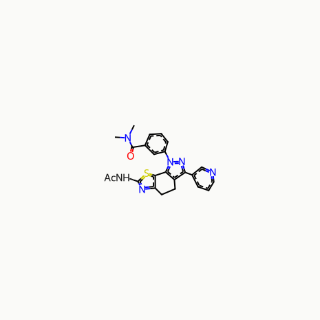 CC(=O)Nc1nc2c(s1)-c1c(c(-c3cccnc3)nn1-c1cccc(C(=O)N(C)C)c1)CC2